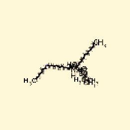 CCCCCCCC/C=C\CCCCCCCCCC(=O)N[C@@H](COP(=O)([O-])OCC[N+](C)(C)C)[C@H](O)/C=C/CCCCCCCCCCC